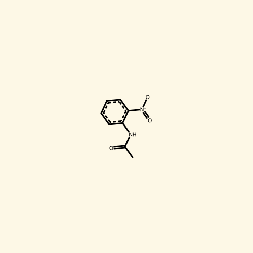 CC(=O)Nc1cc[c]cc1[N+](=O)[O-]